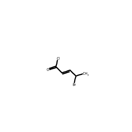 CC(Br)C=CC(=O)Cl